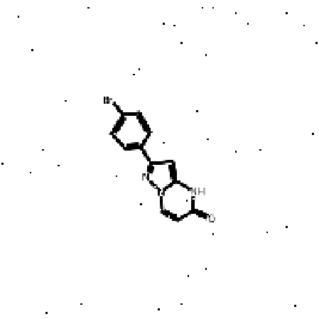 O=c1ccn2nc(-c3ccc(Br)cc3)cc2[nH]1